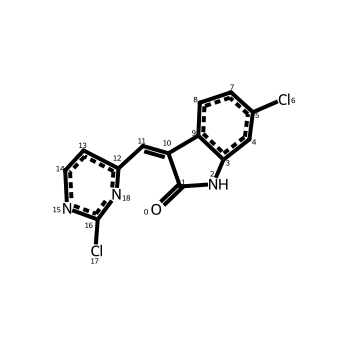 O=C1Nc2cc(Cl)ccc2/C1=C/c1ccnc(Cl)n1